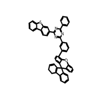 C1=CC2=C(CC1)c1ccccc1C21c2ccccc2Oc2c(-c3cccc(-c4nc(-c5ccccc5)nc(-c5ccc6c(c5)sc5ccccc56)n4)c3)cccc21